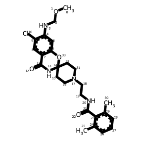 COCNc1cc2c(cc1Cl)C(=O)NC1(CCN(CCNC(=O)c3c(C)cccc3C)CC1)O2